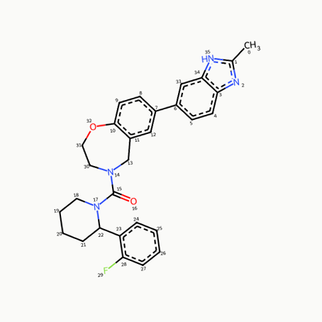 Cc1nc2ccc(-c3ccc4c(c3)CN(C(=O)N3CCCCC3c3ccccc3F)CCO4)cc2[nH]1